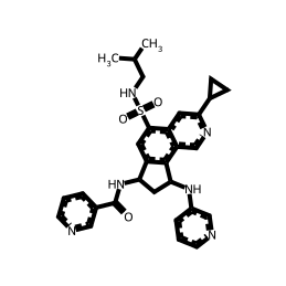 CC(C)CNS(=O)(=O)c1cc2c(c3cnc(C4CC4)cc13)C(Nc1cccnc1)CC2NC(=O)c1cccnc1